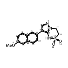 COc1ccc2cc(-c3cnn4c3NS(=O)(=O)CC4)ccc2c1